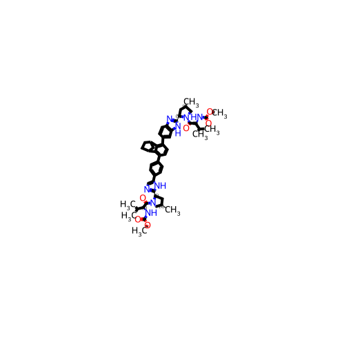 COC(=O)N[C@H](C(=O)N1C[C@@H](C)C[C@H]1c1ncc(-c2ccc(-c3ccc(-c4ccc5nc([C@@H]6C[C@H](C)CN6C(=O)[C@@H](NC(=O)OC)C(C)C)[nH]c5c4)c4c3C3CCC4C3)cc2)[nH]1)C(C)C